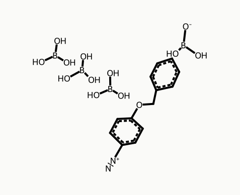 N#[N+]c1ccc(OCc2ccccc2)cc1.OB(O)O.OB(O)O.OB(O)O.[O-]B(O)O